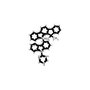 CC1(C)c2ccccc2-c2ccc3c4ccccc4n(-c4cccc5c4c4ccccc4n5-c4ncncn4)c3c21